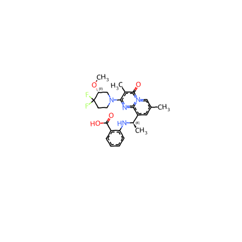 CO[C@@H]1CN(c2nc3c([C@@H](C)Nc4ccccc4C(=O)O)cc(C)cn3c(=O)c2C)CCC1(F)F